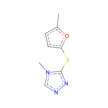 Cc1ccc(Sc2nncn2C)o1